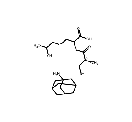 CC(C)CSCC(OC(=O)[C@@H](C)CS)C(=O)O.NC12CC3CC(CC(C3)C1)C2